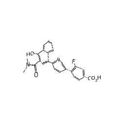 CN(C)C(=O)c1cc(-c2ccc(-c3ccc(C(=O)O)cc3F)cn2)c2ccccc2c1O